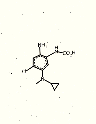 CN(c1cc(NC(=O)O)c(N)cc1Cl)C1CC1